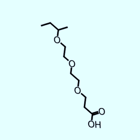 CCC(C)OCCOCCOCCC(=O)O